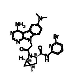 CN(C)c1ccc2c(c1)c1c(N)ncnc1n2CC(=O)N1[C@H](C(=O)Nc2cccc(Br)n2)C[C@@]2(C)C[C@@H]12